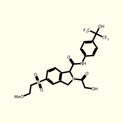 COCCS(=O)(=O)c1ccc2c(c1)CN(C(=O)CO)C2C(=O)Nc1ccc(C(O)(C(F)(F)F)C(F)(F)F)cc1